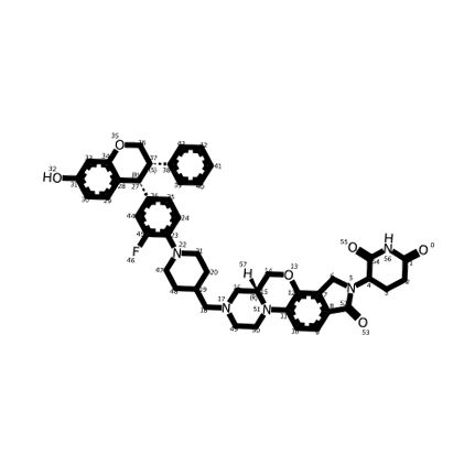 O=C1CCC(N2Cc3c(ccc4c3OC[C@H]3CN(CC5CCN(c6ccc([C@@H]7c8ccc(O)cc8OC[C@@H]7c7ccccc7)cc6F)CC5)CCN43)C2=O)C(=O)N1